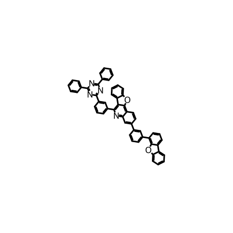 c1ccc(-c2nc(-c3ccccc3)nc(-c3cccc(-c4nc5cc(-c6cccc(-c7cccc8c7oc7ccccc78)c6)ccc5c5oc6ccccc6c45)c3)n2)cc1